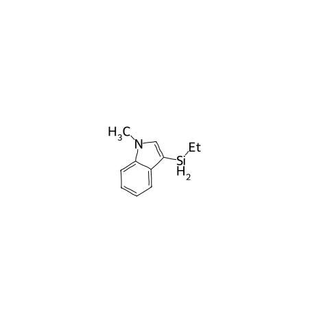 CC[SiH2]c1cn(C)c2ccccc12